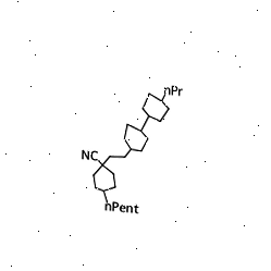 CCCCCC1CCC(C#N)(CCC2CCC(C3CCC(CCC)CC3)CC2)CC1